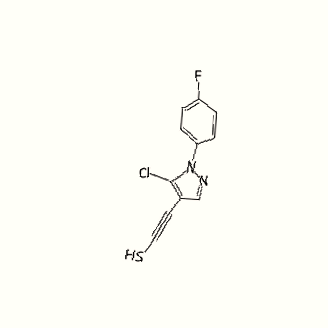 Fc1ccc(-n2ncc(C#CS)c2Cl)cc1